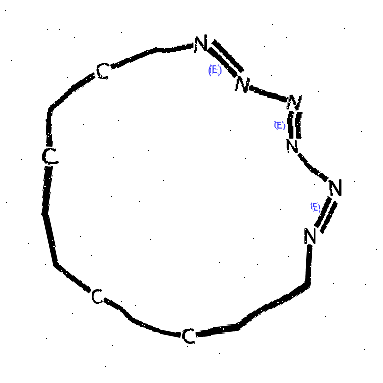 C1CCCCC/N=N/N=N/N=N/CCCCC1